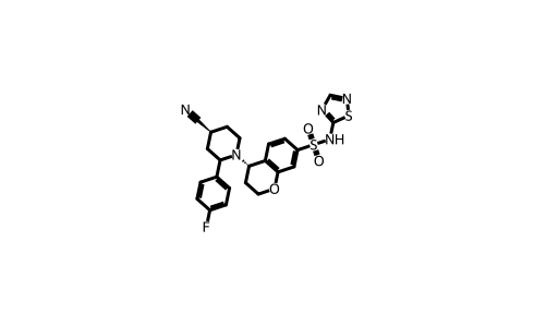 N#C[C@H]1CCN([C@H]2CCOc3cc(S(=O)(=O)Nc4ncns4)ccc32)C(c2ccc(F)cc2)C1